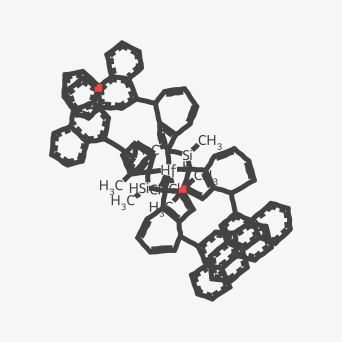 CC1=CC2=C(C=CC=CC2c2cc3ccccc3c3ccccc23)[C]12[SiH](C)[C]1(C(C)=CC3=C1C=CC=CC3c1cc3ccccc3c3ccccc13)[Hf]21([Cl])([Cl])[C]2(C(C)=CC3=C2C=CC=CC3c2cc3ccccc3c3ccccc23)[SiH](C)[C]12C(C)=CC1=C2C=CC=CC1c1cc2ccccc2c2ccccc12